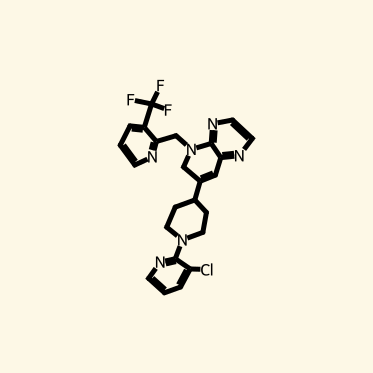 FC(F)(F)c1cccnc1CN1CC(C2CCN(c3ncccc3Cl)CC2)=Cc2nccnc21